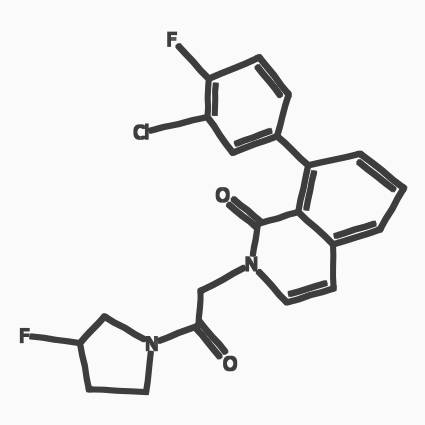 O=C(Cn1ccc2cccc(-c3ccc(F)c(Cl)c3)c2c1=O)N1CCC(F)C1